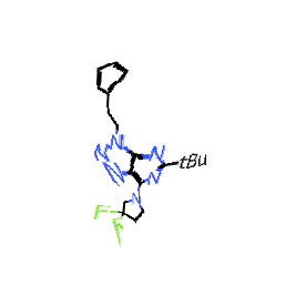 CC(C)(C)c1nc(N2CCC(F)(F)C2)c2nnn(CCc3ccccc3)c2n1